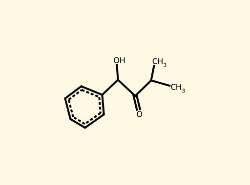 CC(C)C(=O)C(O)c1ccccc1